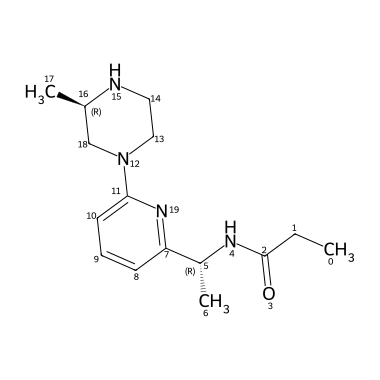 CCC(=O)N[C@H](C)c1cccc(N2CCN[C@H](C)C2)n1